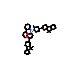 CC1C=C(c2ccc3c(c2)C(C)(C)c2ccccc2-3)C=CC1N(c1ccc(-c2ccc3c(c2)C(C)(C)c2ccccc2-3)cc1)c1ccccc1-c1ccccc1